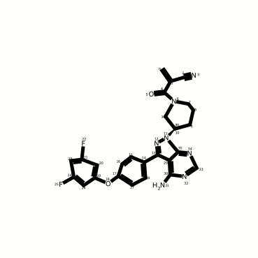 C=C(C#N)C(=O)N1CCC[C@@H](n2nc(-c3ccc(Oc4cc(F)cc(F)c4)cc3)c3c(N)ncnc32)C1